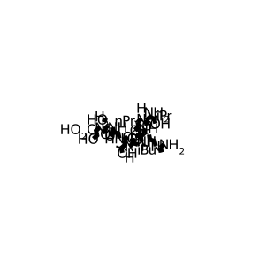 C=C(N)NCCC[C@@H](NC(=O)[C@H](CCC)NC(=O)[C@@H](N)[C@H](O)C(C)C)C(=O)N[C@H](C(=O)N[C@H](C(=O)NCC(=O)N[C@@H](CO)C(=O)N[C@@H](CO)C(=O)O)[C@H](C)O)[C@@H](C)CC